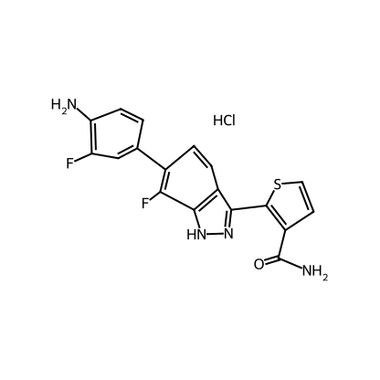 Cl.NC(=O)c1ccsc1-c1n[nH]c2c(F)c(-c3ccc(N)c(F)c3)ccc12